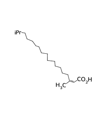 CC(=CC(=O)O)CCCCCCCCCCCCCC(C)C